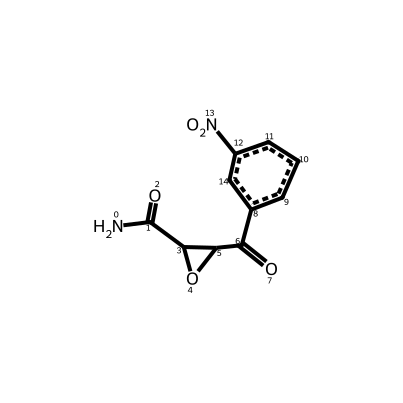 NC(=O)C1OC1C(=O)c1cccc([N+](=O)[O-])c1